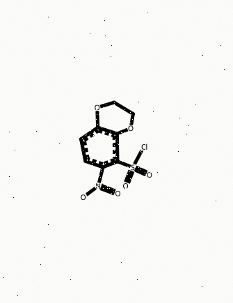 O=[N+]([O-])c1ccc2c(c1S(=O)(=O)Cl)OCCO2